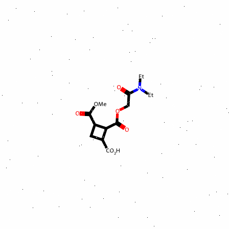 CCN(CC)C(=O)COC(=O)C1C(C(=O)O)CC1C(=O)OC